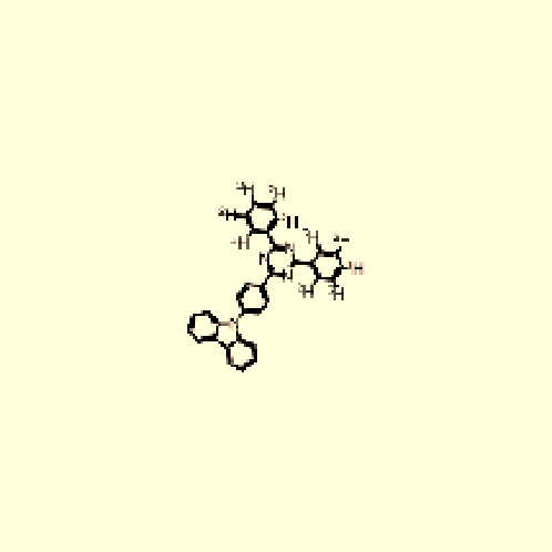 [2H]c1c([2H])c([2H])c(-c2nc(-c3ccc(-n4c5ccccc5c5ccccc54)cc3)nc(-c3c([2H])c([2H])c([2H])c([2H])c3[2H])n2)c([2H])c1[2H]